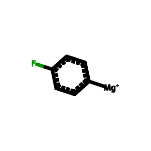 Fc1cc[c]([Mg+])cc1